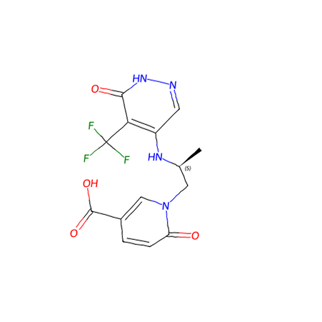 C[C@@H](Cn1cc(C(=O)O)ccc1=O)Nc1cn[nH]c(=O)c1C(F)(F)F